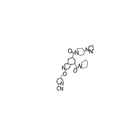 N#Cc1ccc(COc2cc3c(C(=O)N4CCCCC4)cc(C(=O)N4CCC(n5cccn5)CC4)cc3cn2)cn1